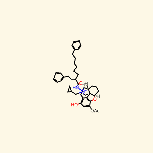 CC(=O)Oc1cc(O)c2c3c1O[C@H]1CCC[C@H]4[C@@H](C2)[N+](CC2CC2)(NC(=O)C(CCCCCCc2ccccc2)CCc2ccccc2)CC[C@]314